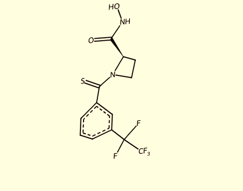 O=C(NO)[C@H]1CCN1C(=S)c1cccc(C(F)(F)C(F)(F)F)c1